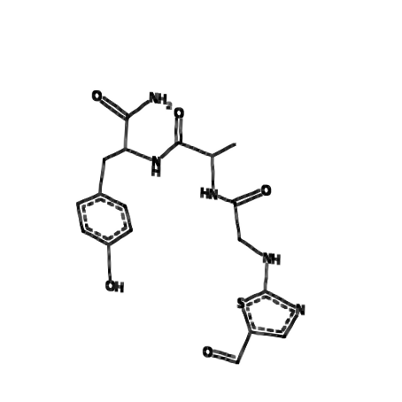 CC(NC(=O)CNc1ncc(C=O)s1)C(=O)NC(Cc1ccc(O)cc1)C(N)=O